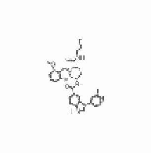 COc1cccc(F)c1CN1C[C@H](NC(=O)c2ccc3[nH]cc(-c4ccnc(C)c4)c3c2)CC[C@H]1C(=O)NCCF